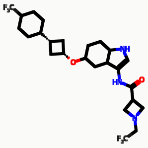 O=C(NC1=CNC2CCC(O[C@H]3C[C@@H](C4CCC(C(F)(F)F)CC4)C3)CC12)C1CN(CC(F)(F)F)C1